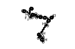 CC1(CNC(=O)CCCCCCCNc2cccc3c2C(=O)N(C2CCC(=O)NC2=O)C3=O)CCC(c2ccc(Cl)cc2)=C(CN2CCN(c3ccc(C(=O)NS(=O)(=O)c4ccc(N[C@H](CCN5CCOCC5)CSc5ccccc5)c(S(=O)(=O)C(F)(F)F)c4)cc3)CC2)C1